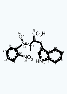 O=C(O)C(Cc1c[nH]c2ccccc12)N[S+]([O-])c1ccccc1[N+](=O)[O-]